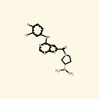 CN(C)[C@H]1CCN(C(=O)c2cc3c(Nc4ccc(F)c(Cl)c4)ncnc3s2)C1